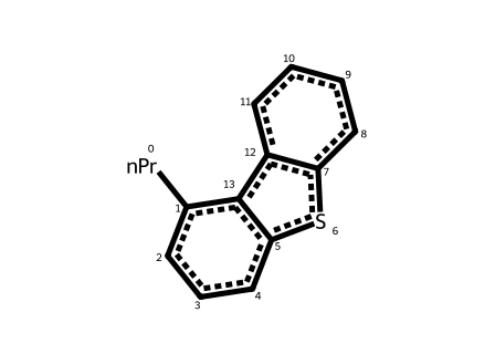 CCCc1cccc2sc3ccccc3c12